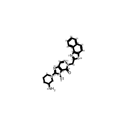 CCn1c(N2CCCC(N)C2)nc2cnn(Cc3nc4c(ccc5ccccc54)s3)c(=O)c21